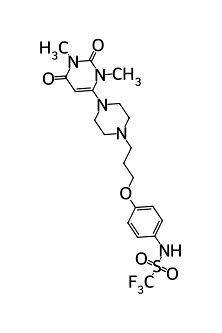 Cn1c(N2CCN(CCCOc3ccc(NS(=O)(=O)C(F)(F)F)cc3)CC2)cc(=O)n(C)c1=O